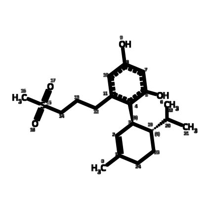 CC1=C[C@@H](c2c(O)cc(O)cc2CCCS(C)(=O)=O)[C@H](C(C)C)CC1